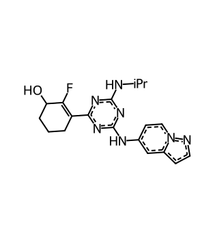 CC(C)Nc1nc(Nc2ccn3nccc3c2)nc(C2=C(F)C(O)CCC2)n1